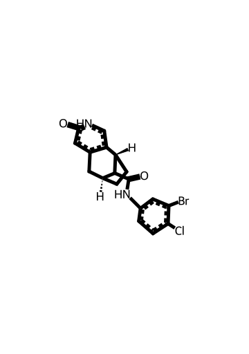 O=C(Nc1ccc(Cl)c(Br)c1)C1[C@H]2CC[C@H]1c1c[nH]c(=O)cc1C2